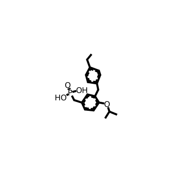 CCc1ccc(Cc2cc(CP(=O)(O)O)ccc2OC(C)C)cc1